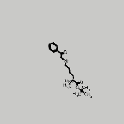 CN[C@@H](CCCCNCC(=O)c1ccccc1)C(=O)OC(C)(C)C